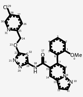 COc1ccccc1-c1cn2nccc2cc1C(=O)Nc1nnc(OCc2ccc(Cl)cn2)s1